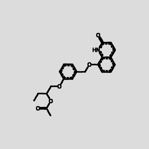 CCC(COc1cccc(COc2cccc3ccc(=O)[nH]c23)c1)OC(C)=O